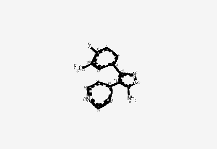 Nc1onc(-c2ccc(F)c(C(F)(F)F)c2)c1-c1ccncc1